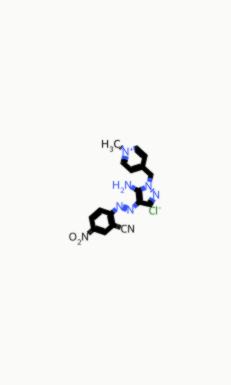 C[n+]1ccc(Cn2ncc(N=Nc3ccc([N+](=O)[O-])cc3C#N)c2N)cc1.[Cl-]